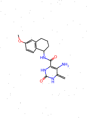 C=C1NC(=O)NC(C(=O)NC2CCCc3cc(OC)ccc32)=C1N